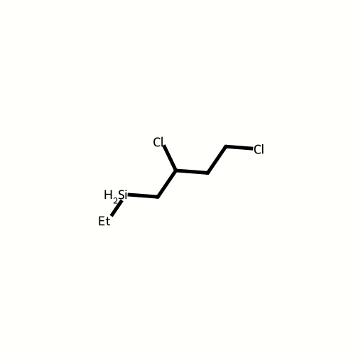 CC[SiH2]CC(Cl)CCCl